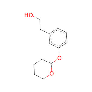 OCCc1cccc(OC2CCCCO2)c1